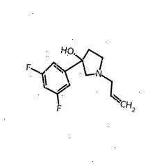 C=CCN1CCC(O)(c2cc(F)cc(F)c2)C1